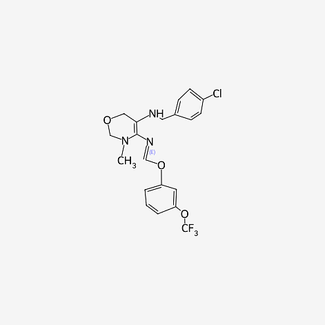 CN1COCC(NCc2ccc(Cl)cc2)=C1/N=C/Oc1cccc(OC(F)(F)F)c1